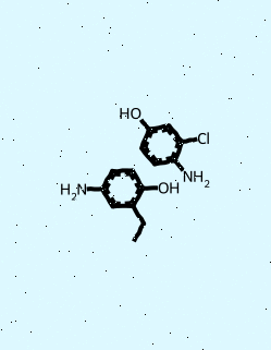 CCc1cc(N)ccc1O.Nc1ccc(O)cc1Cl